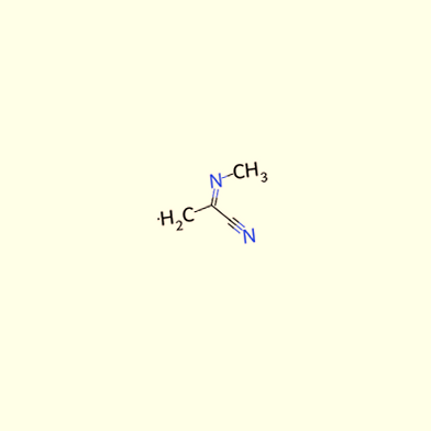 [CH2]C(C#N)=NC